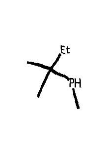 CCC(C)(C)PC